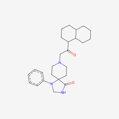 O=C(CN1CCC2(CC1)C(=O)NCN2c1ccccc1)C1CCCC2CCCCC21